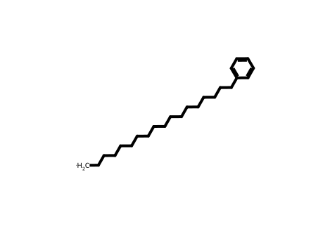 [CH2]CCCCCCCCCCCCCCCCCc1ccccc1